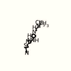 CCN(CC)CCCNc1ccc(Nc2cc(-c3cc(C#N)cs3)n[nH]2)cc1